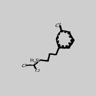 Clc1cccc(CCC[SiH2]C(Cl)Cl)c1